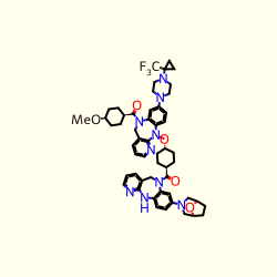 CO[C@H]1CC[C@@H](C(=O)N2Cc3cccnc3N(O[C@H]3CC[C@H](C(=O)N4Cc5cccnc5Nc5ccc(N6CC7CCC(C6)O7)cc54)CC3)c3ccc(N4CCN(C5(C(F)(F)F)CC5)CC4)cc32)CC1